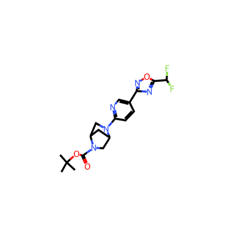 CC(C)(C)OC(=O)N1CC2CC1CN2c1ccc(-c2noc(C(F)F)n2)cn1